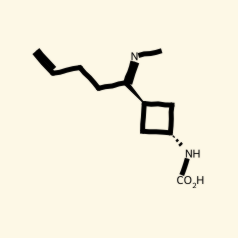 C=CCC/C(=N/C)[C@H]1C[C@H](NC(=O)O)C1